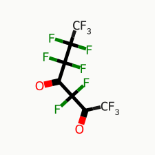 O=C(C(F)(F)F)C(F)(F)C(=O)C(F)(F)C(F)(F)C(F)(F)F